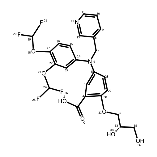 O=C(O)c1cc(N(Cc2cccnc2)c2ccc(OC(F)F)c(OC(F)F)c2)ccc1OC[C@@H](O)CO